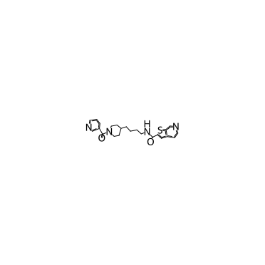 O=C(NCCCCC1CCN(C(=O)c2cccnc2)CC1)c1cc2ccncc2s1